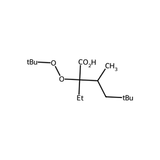 CCC(OOC(C)(C)C)(C(=O)O)C(C)CC(C)(C)C